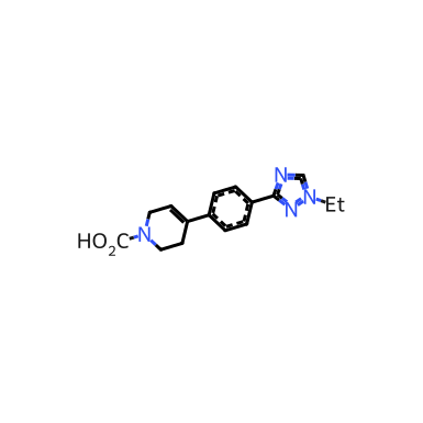 CCn1cnc(-c2ccc(C3=CCN(C(=O)O)CC3)cc2)n1